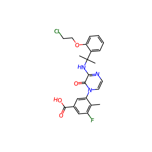 Cc1c(F)cc(C(=O)O)cc1-n1ccnc(NC(C)(C)c2ccccc2OCCCl)c1=O